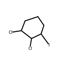 ClC1CCCC(I)C1Cl